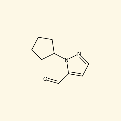 O=Cc1ccnn1C1CCCC1